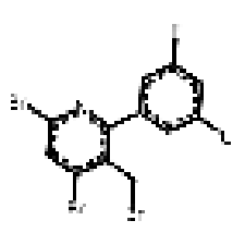 Fc1cc(Cl)cc(-c2nc(Br)cc(Br)c2CBr)c1